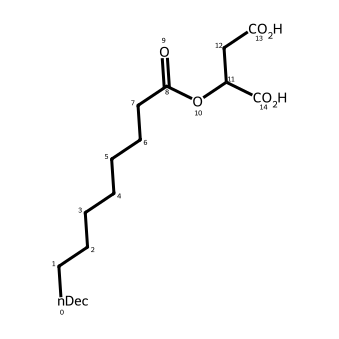 CCCCCCCCCCCCCCCCCC(=O)OC(CC(=O)O)C(=O)O